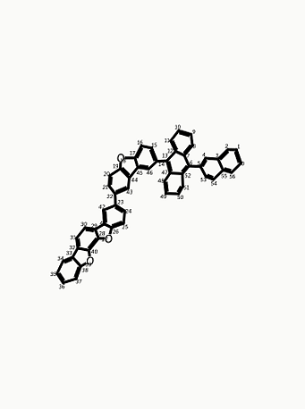 c1ccc2cc(-c3c4ccccc4c(-c4ccc5oc6ccc(-c7ccc8oc9c(ccc%10c%11ccccc%11oc%109)c8c7)cc6c5c4)c4ccccc34)ccc2c1